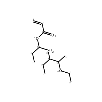 C=CC(=O)OC(CC)[SiH2]C(CC)C(C)OCC